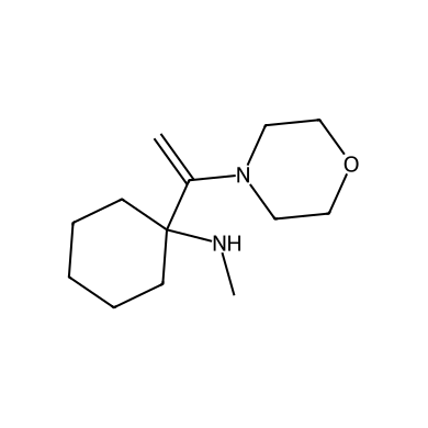 C=C(N1CCOCC1)C1(NC)CCCCC1